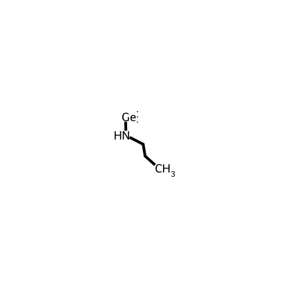 CCC[NH][Ge]